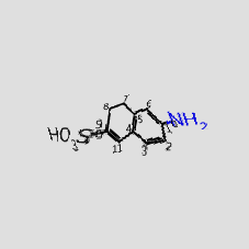 Nc1ccc2c(c1)CCC(S(=O)(=O)O)=C2